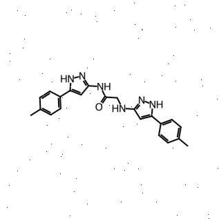 Cc1ccc(-c2cc(NCC(=O)Nc3cc(-c4ccc(C)cc4)[nH]n3)n[nH]2)cc1